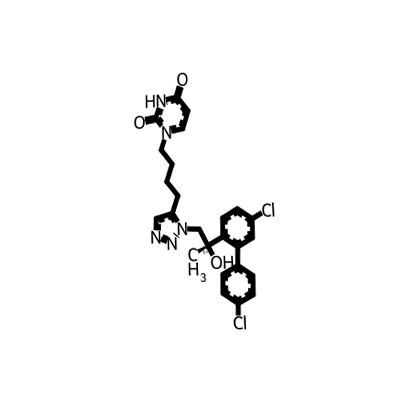 C[C@@](O)(Cn1nncc1CCCCn1ccc(=O)[nH]c1=O)c1ccc(Cl)cc1-c1ccc(Cl)cc1